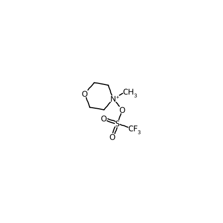 C[N+]1(OS(=O)(=O)C(F)(F)F)CCOCC1